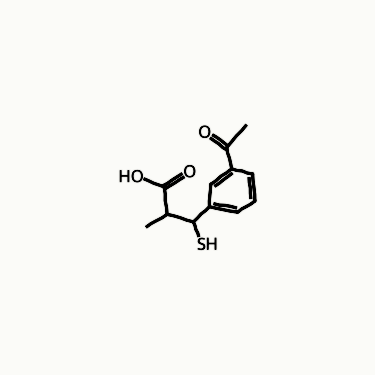 CC(=O)c1cccc(C(S)C(C)C(=O)O)c1